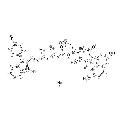 CC[C@H](C)C(=O)O[C@H]1C[C@H](O)C=C2C=C[C@H](C)[C@H](CC[C@@H](O)C[C@H](CC(=O)[O-])OC(=O)C[C@@H](O)C[C@@H](O)/C=C/c3c(-c4ccc(F)cc4)c4ccccc4n3C(C)C)[C@H]21.[Na+]